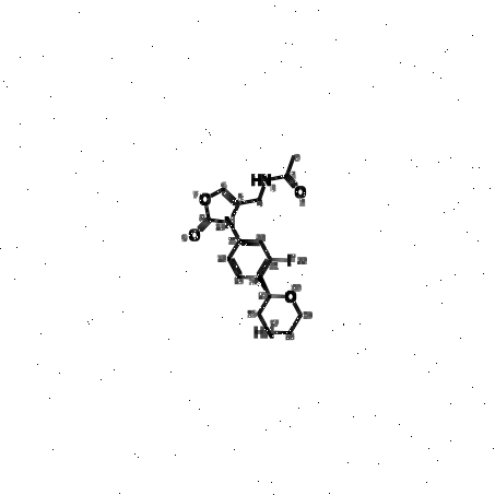 CC(=O)NCc1coc(=O)n1-c1ccc([C@@H]2CNCCO2)c(F)c1